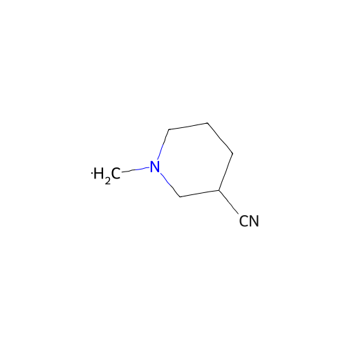 [CH2]N1CCCC(C#N)C1